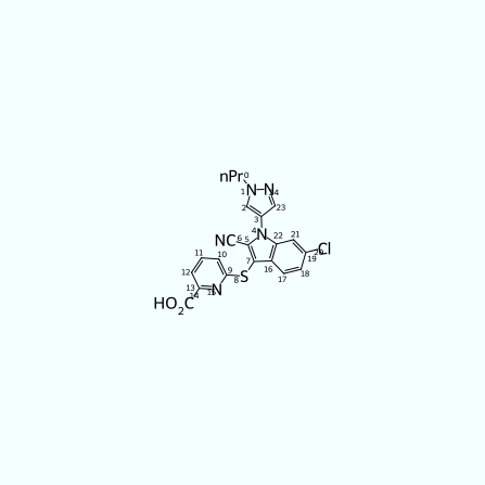 CCCn1cc(-n2c(C#N)c(Sc3cccc(C(=O)O)n3)c3ccc(Cl)cc32)cn1